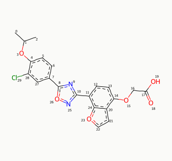 CC(C)Oc1ccc(-c2nc(-c3ccc(OCC(=O)O)c4ccoc34)no2)cc1Cl